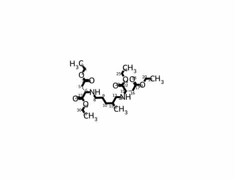 CCOC(=O)C[C@H](NCCCC(C)CN[C@@H](CC(=O)OCC)C(=O)OCC)C(=O)OCC